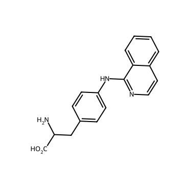 NC(Cc1ccc(Nc2nccc3ccccc23)cc1)C(=O)O